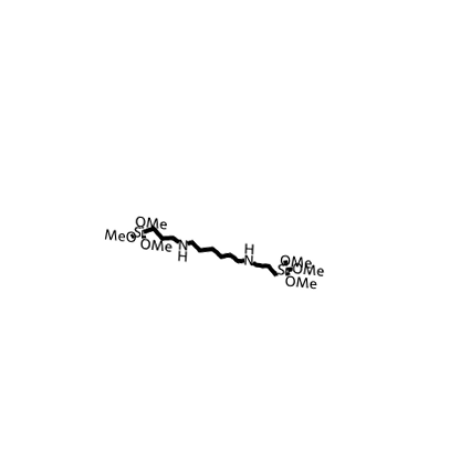 CO[Si](CCCNCCCCCCNCCC[Si](OC)(OC)OC)(OC)OC